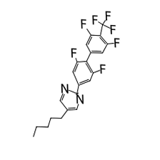 CCCCCc1cnc(-c2cc(F)c(-c3cc(F)c(C(F)(F)F)c(F)c3)c(F)c2)nc1